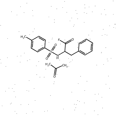 CC(C)=O.Cc1ccc(S(=O)(=O)NC(Cc2ccccc2)C(=O)F)cc1